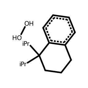 CC(C)C1(C(C)C)CCCc2ccccc21.OO